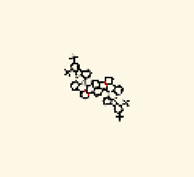 CC(C)(C)c1cc(C(C)(C)C)c2oc3c(N(c4ccccc4-c4ccccc4)c4ccc5ccc6c(N(c7ccccc7-c7ccccc7)c7cccc8c7oc7c(C(C)(C)C)cc(C(C)(C)C)cc78)ccc7ccc4c5c76)cccc3c2c1